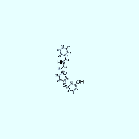 Oc1cccc(Sc2ccc(CCNCc3ccccc3)cc2)c1